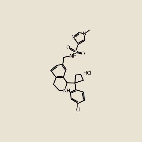 Cl.Cn1cnc(S(=O)(=O)NCc2ccc3c(c2)C(C2(c4ccc(Cl)cc4)CCC2)NCC3)c1